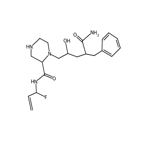 C=CC(F)NC(=O)C1CNCCN1CC(O)CC(Cc1ccccc1)C(N)=O